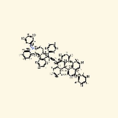 C(#C[Si](c1ccccc1)(c1ccccc1)c1ccc2c(c1)c1ccccc1n2-c1ccccc1)c1c2ccccc2c(-c2ccc(-c3ccccc3)c3ccccc23)c2ccccc12